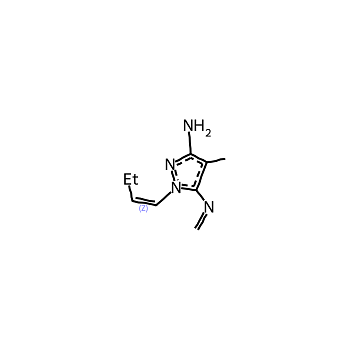 C=Nc1c(C)c(N)nn1/C=C\CC